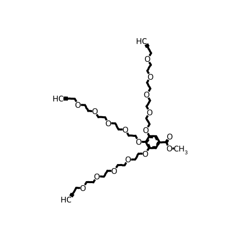 C#CCOCCOCCOCCOCCOc1cc(C(=O)OC)cc(OCCOCCOCCOCCOCC#C)c1OCCOCCOCCOCCOCC#C